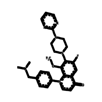 CN(C)Cc1ccc(-n2ccc(=O)c3cc(F)c(N4CCN(c5ncccn5)CC4)c(OC(F)(F)F)c32)cc1